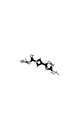 Cc1noc(C2CN(C(=O)OC(C)(C)C)C2)n1